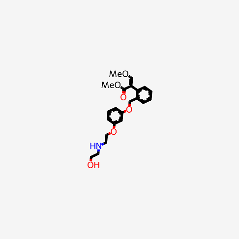 COC=C(C(=O)OC)c1ccccc1COc1cccc(OCCNCCO)c1